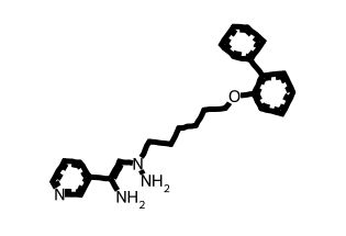 N/C(=C\N(N)CCCCCCOc1ccccc1-c1ccccc1)c1cccnc1